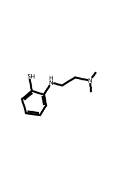 CN(C)CCNc1ccccc1S